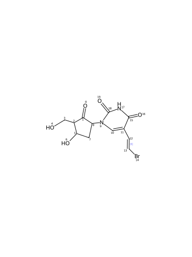 O=C1C(CO)C(O)CC1n1cc(/C=C/Br)c(=O)[nH]c1=O